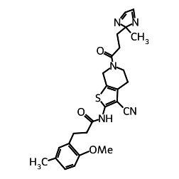 COc1ccc(C)cc1CCC(=O)Nc1sc2c(c1C#N)CCN(C(=O)CCC1(C)N=CC=N1)C2